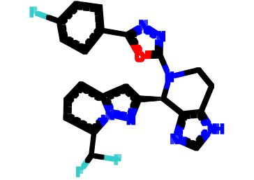 Fc1ccc(-c2nnc(N3CCc4[nH]cnc4[C@H]3c3cc4cccc(C(F)F)n4n3)o2)cc1